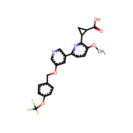 COc1ccc(-c2cncc(OCc3ccc(OC(F)(F)F)cc3)c2)nc1C1CC1C(=O)O